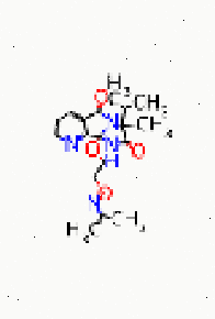 CC(C)=NOCCOC12NC(=O)C(C)(C(C)C)N1C(=O)c1cccnc12